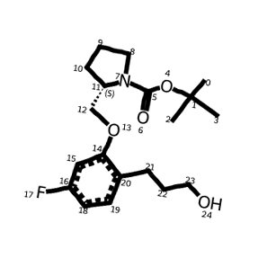 CC(C)(C)OC(=O)N1CCC[C@H]1COc1cc(F)ccc1CCCO